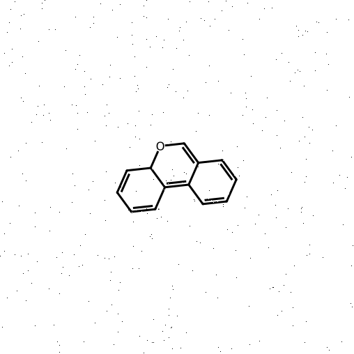 [C]1=CC=CC2OC=c3ccccc3=C12